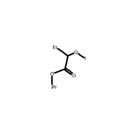 CCC(OI)C(=O)OC(C)C